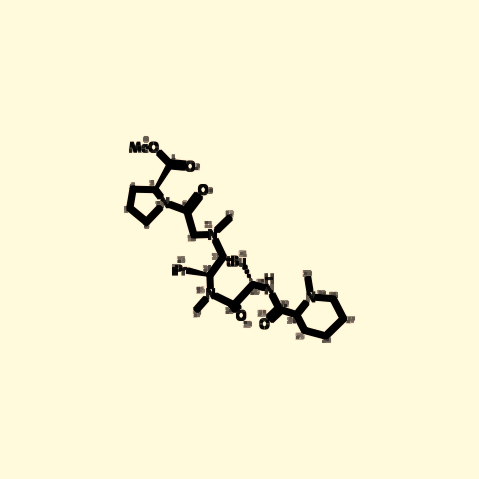 COC(=O)[C@@H]1CCCN1C(=O)CN(C)C[C@H](C(C)C)N(C)C(=O)[C@@H](NC(=O)C1CCCCN1C)C(C)(C)C